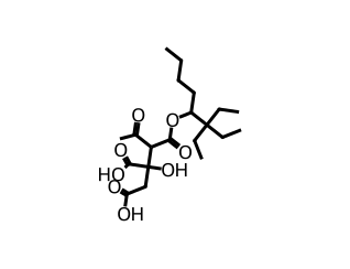 CCCCC(OC(=O)C(C(C)=O)C(O)(CC(=O)O)C(=O)O)C(CC)(CC)CC